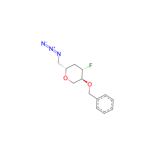 [N-]=[N+]=NC[C@@H]1C[C@H](F)[C@@H](OCc2ccccc2)CO1